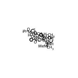 CN[C@@H](C)C(=O)N[C@H]1CCS[C@H]2CC(C)(C)[C@@H](C(=O)N[C@H](C(=O)N3CCN(C(=O)[C@@H](NC(=O)[C@H]4N5C(=O)[C@@H](NC(=O)C(C)C)CCSC5CC4(C)C)c4ccccc4)CC3)c3ccccc3)N2C1=O